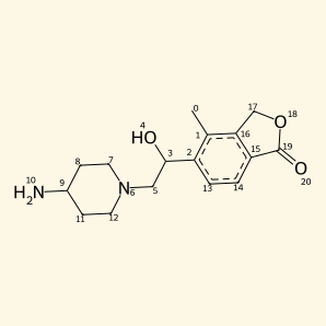 Cc1c(C(O)CN2CCC(N)CC2)ccc2c1COC2=O